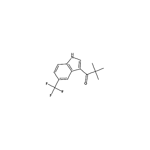 CC(C)(C)C(=O)c1c[nH]c2ccc(C(F)(F)F)cc12